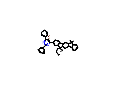 CC1(C)c2ccccc2C2C=C3C(=CC21)c1ccc(-c2nc(-c4ccccc4)nc4c5c(sc24)=CCCC=5)cc1C31CCCCC1